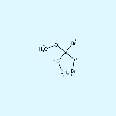 CO[Si](Br)(CBr)OC